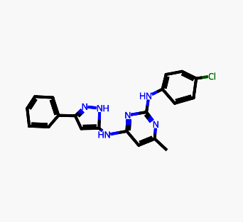 Cc1cc(Nc2cc(-c3ccccc3)n[nH]2)nc(Nc2ccc(Cl)cc2)n1